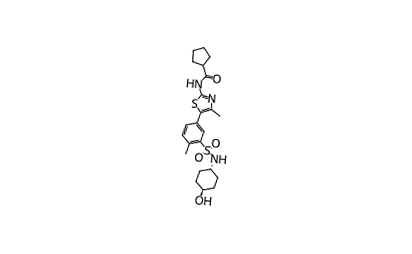 Cc1ccc(-c2sc(NC(=O)C3CCCC3)nc2C)cc1S(=O)(=O)N[C@H]1CC[C@H](O)CC1